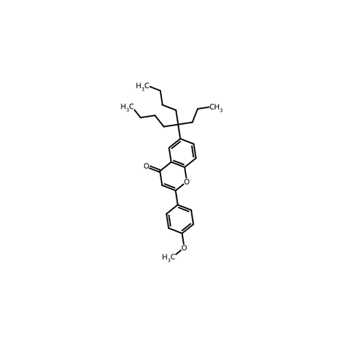 CCCCC(CCC)(CCCC)c1ccc2oc(-c3ccc(OC)cc3)cc(=O)c2c1